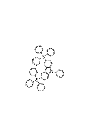 c1ccc(-n2c3ccc(S(c4ccccc4)(c4ccccc4)c4ccccc4)cc3c3cc(S(c4ccccc4)(c4ccccc4)c4ccccc4)ccc32)cc1